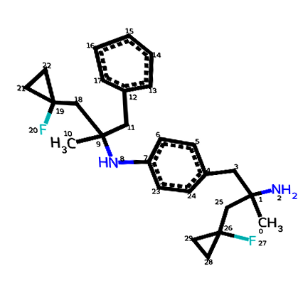 CC(N)(Cc1ccc(NC(C)(Cc2ccccc2)CC2(F)CC2)cc1)CC1(F)CC1